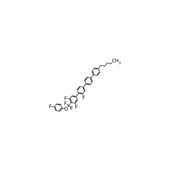 CCCCCc1ccc(-c2ccc(-c3ccc(-c4cc(F)c(C(F)(F)Oc5ccc(F)cc5)c(F)c4)c(F)c3)cc2)cc1